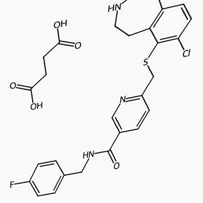 O=C(NCc1ccc(F)cc1)c1ccc(CSc2c(Cl)ccc3c2CCNCC3)nc1.O=C(O)CCC(=O)O